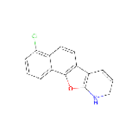 Clc1cccc2c1ccc1c3c(oc12)NCC=C3